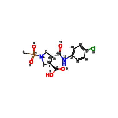 CS(=O)(=O)N1C[C@H](C(=O)O)[C@@H](C(=O)Nc2ccc(Cl)cc2)C1